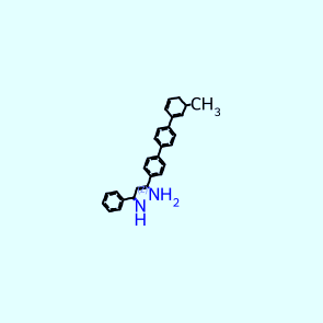 CC1C=C(c2ccc(-c3ccc(/C(N)=C/C(=N)c4ccccc4)cc3)cc2)C=CC1